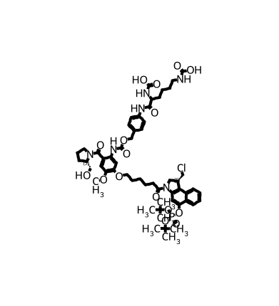 COc1cc(C(=O)N2CCC[C@H]2CO)c(NC(=O)OCc2ccc(NC(=O)C(CCCCNC(=O)O)NC(=O)O)cc2)cc1OCCCCCC(=O)N1C[C@@H](CCl)c2c1cc(OP(=O)(OC(C)(C)C)OC(C)(C)C)c1ccccc21